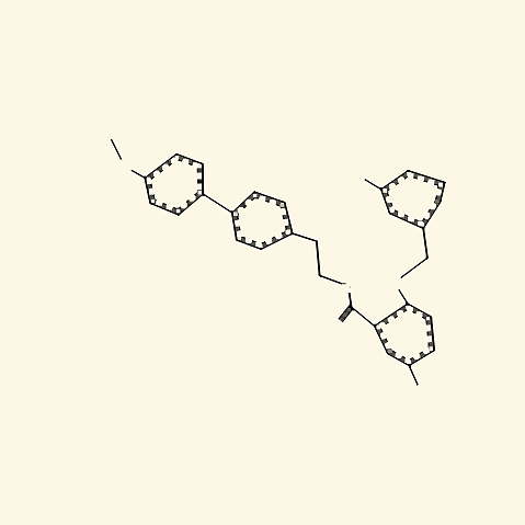 O=C(O)Oc1ccc(-c2ccc(CCNC(=O)c3cc(Cl)ccc3OCc3cccc(F)c3)cc2)cc1